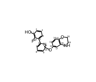 Oc1cccc(-c2cccc(Oc3ccc4c(c3)NCCO4)n2)c1F